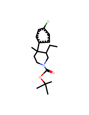 CCC1CN(C(=O)OC(C)(C)C)CCC1(C)c1ccc(Cl)cc1